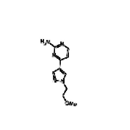 COCCn1cc(-c2ccnc(N)n2)cn1